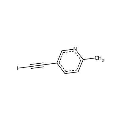 Cc1ccc(C#CI)cn1